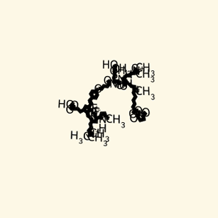 Cc1ccc(-c2cc(CCC[N+](C)(C)C)c3n2[B-](F)(F)[N+]2=C(/C=C/c4ccc(OCCCC(=O)NC(CSOOO)C(=O)NC(CCCC[N+](C)(C)C)C(=O)NCCN(C)CCCCCC(=O)ON5C(=O)CCC5=O)cc4)C=C(CCCS(=O)(=O)O)C2=C3)[nH]1